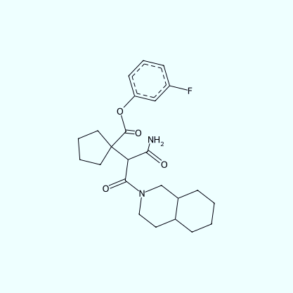 NC(=O)C(C(=O)N1CCC2CCCCC2C1)C1(C(=O)Oc2cccc(F)c2)CCCC1